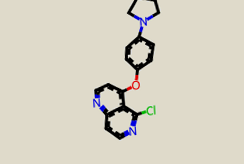 Clc1nccc2nccc(Oc3ccc(N4CCCC4)cc3)c12